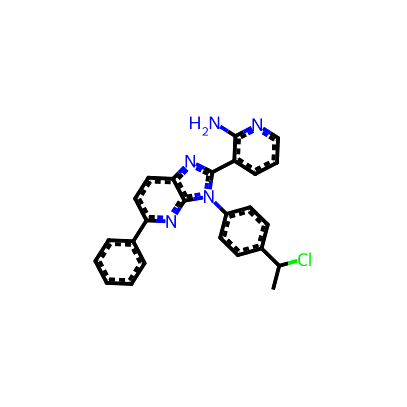 CC(Cl)c1ccc(-n2c(-c3cccnc3N)nc3ccc(-c4ccccc4)nc32)cc1